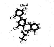 CC(C)(O)c1cn(-c2ccc(-c3cc(S(C)(=O)=O)ccc3Cl)cc2Cl)c(-c2c(Cl)cccc2Cl)n1